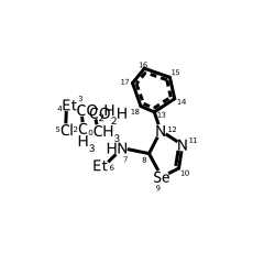 CC(=O)O.CC(=O)O.CCCl.CCNC1[Se]C=NN1c1ccccc1